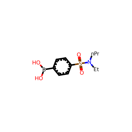 CCCN(CC)S(=O)(=O)c1ccc(B(O)O)cc1